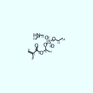 C=C(C)C(=O)OC(C)OS(=O)(=O)OCC.CNC